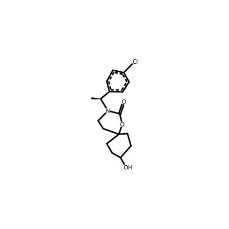 C[C@@H](c1ccc(Cl)cc1)N1CCC2(CCC(O)CC2)OC1=O